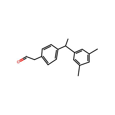 Cc1cc(C)cc(C(C)c2ccc(C[C]=O)cc2)c1